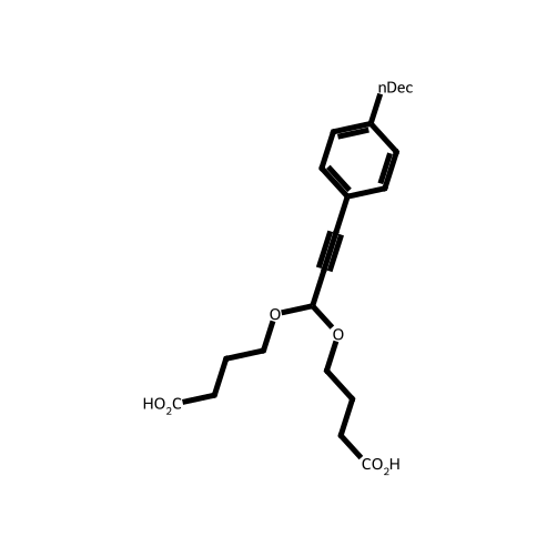 CCCCCCCCCCc1ccc(C#CC(OCCCC(=O)O)OCCCC(=O)O)cc1